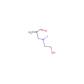 C=C(C=O)CN(I)CCO